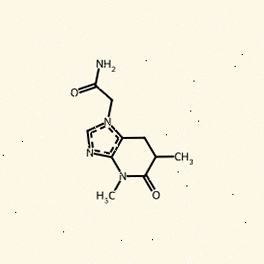 CC1Cc2c(ncn2CC(N)=O)N(C)C1=O